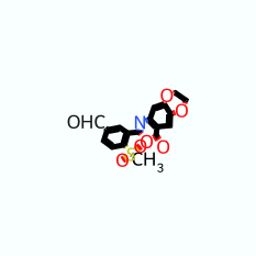 CS(=O)(=O)c1ccc(C=O)cc1-c1nc2cc3c(cc2c(=O)o1)OCCO3